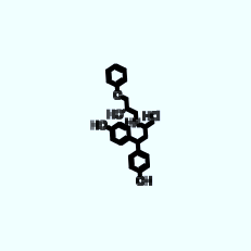 CC(CC(c1ccc(O)cc1)c1ccc(O)cc1)NC[C@H](O)COc1ccccc1.Cl